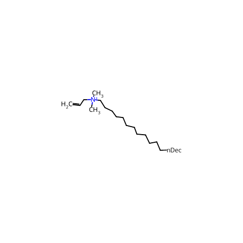 C=CC[N+](C)(C)CCCCCCCCCCCCCCCCCCCCCC